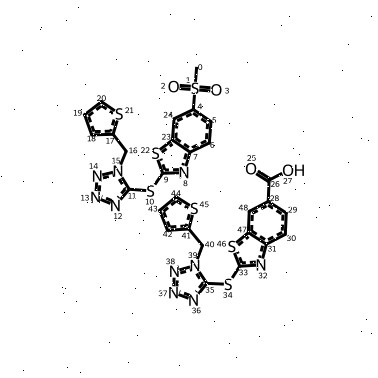 CS(=O)(=O)c1ccc2nc(Sc3nnnn3Cc3cccs3)sc2c1.O=C(O)c1ccc2nc(Sc3nnnn3Cc3cccs3)sc2c1